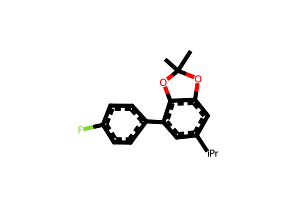 CC(C)c1cc2c(c(-c3ccc(F)cc3)c1)OC(C)(C)O2